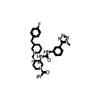 CC(C)C(=O)N1CC[C@@H](CN2CCCC(Cc3ccc(F)cc3)C2)[C@@H](NC(=O)Nc2cccc(-c3nnnn3C)c2)C1